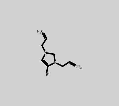 C=CCN1C=C(C(C)C)N(CC=C)C1